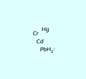 [Cd].[Cr].[Hg].[PbH2]